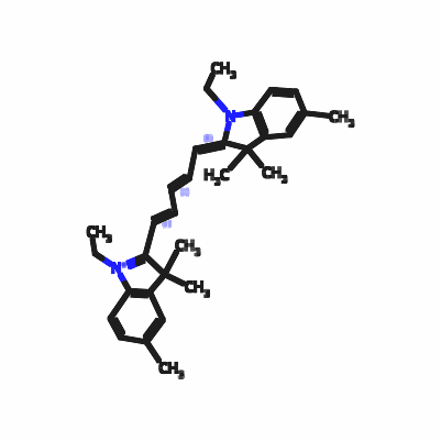 CCN1/C(=C/C=C/C=C/C2=[N+](CC)c3ccc(C)cc3C2(C)C)C(C)(C)c2cc(C)ccc21